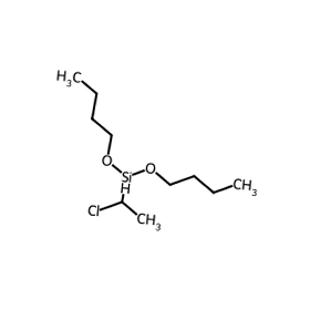 CCCCO[SiH](OCCCC)C(C)Cl